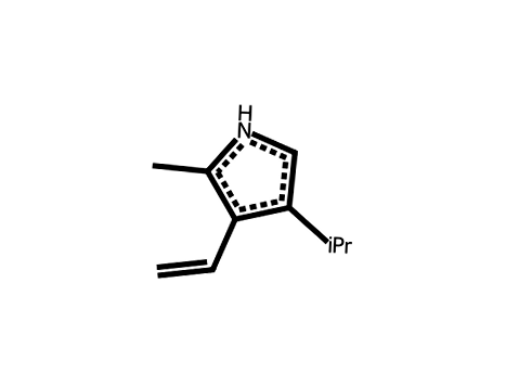 C=Cc1c(C(C)C)c[nH]c1C